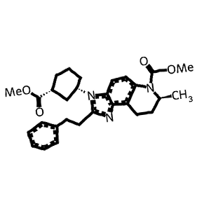 COC(=O)[C@@H]1CCC[C@H](n2c(CCc3ccccc3)nc3c4c(ccc32)N(C(=O)OC)[C@@H](C)CC4)C1